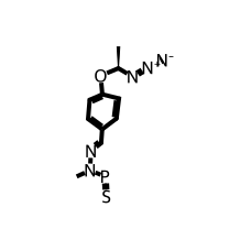 C[C@@H](N=[N+]=[N-])Oc1ccc(/C=N/N(C)P=S)cc1